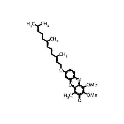 COc1c2nc3ccc(OC/C=C(\C)CC/C=C(\C)CCC=C(C)C)cc3oc-2c(C)c(=O)c1OC